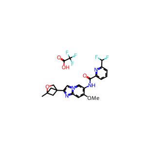 COc1cc2nc(C34COC(C)(C3)C4)cn2cc1NC(=O)c1cccc(C(F)F)n1.O=C(O)C(F)(F)F